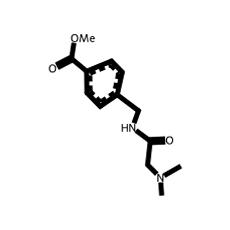 COC(=O)c1ccc(CNC(=O)CN(C)C)cc1